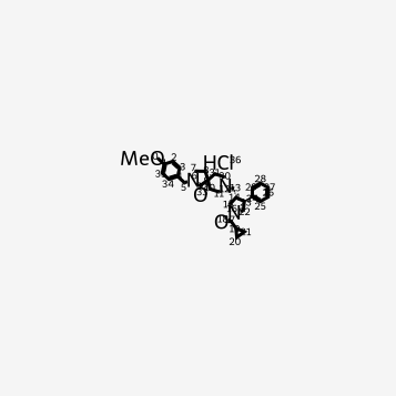 COc1ccc(CN2CCC3(CCN(C[C@H]4CN(C(=O)C5CC5)C[C@@H]4c4ccccc4)CC3)C2=O)cc1.Cl